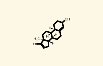 CCC1=CC[C@H]2[C@@H]3CCC4=CC(O)CC[C@@H]4[C@H]3CC[C@]12C